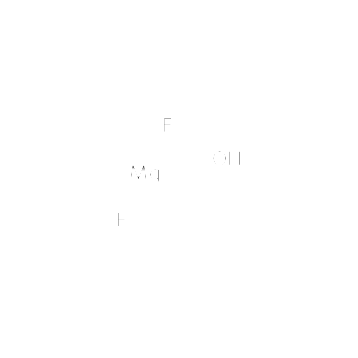 CCO.[F][Mg][F]